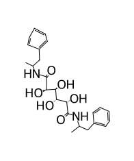 CC(Cc1ccccc1)NC(=O)[C@@H](O)[C@H](O)[C@H](O)[C@@H](O)C(=O)NC(C)Cc1ccccc1